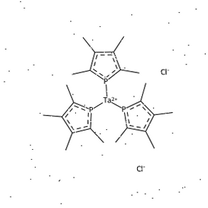 Cc1c(C)c(C)[p]([Ta+2]([p]2c(C)c(C)c(C)c2C)[p]2c(C)c(C)c(C)c2C)c1C.[Cl-].[Cl-]